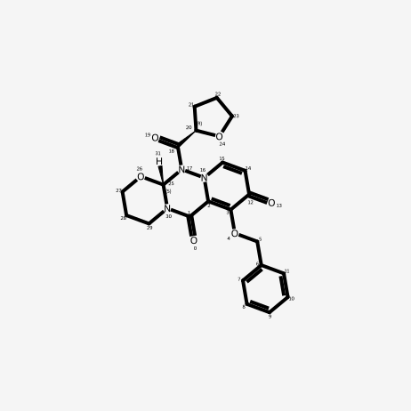 O=C1c2c(OCc3ccccc3)c(=O)ccn2N(C(=O)[C@H]2CCCO2)[C@H]2OCCCN12